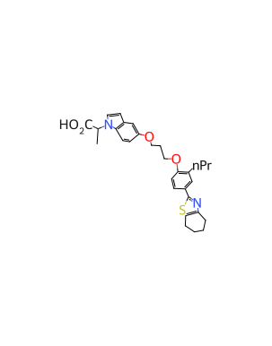 CCCc1cc(-c2nc3c(s2)CCCC3)ccc1OCCCOc1ccc2c(ccn2C(C)C(=O)O)c1